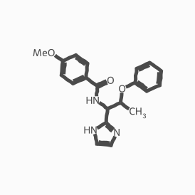 COc1ccc(C(=O)NC(c2ncc[nH]2)C(C)Oc2ccccc2)cc1